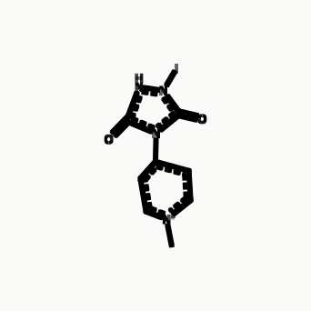 C[n+]1ccc(-n2c(=O)[nH]n(I)c2=O)cc1